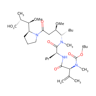 C=C(C)[C@@H](C(=O)N[C@H](C(=O)N(C)[C@@H]([C@@H](C)CC)[C@@H](CC(=O)N1CCC[C@H]1[C@H](OC)[C@@H](C)C(=O)O)OC)C(C)C)N(C)C(=O)OC(C)(C)C